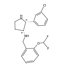 FC(F)Oc1ccccc1CN[C@@H]1CCN[C@@H]1c1cccc(Cl)c1